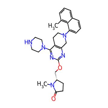 Cc1cccc2cccc(N3CCc4c(nc(OC[C@@H]5CCC(=O)N5C)nc4N4CCNCC4)C3)c12